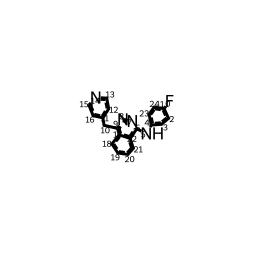 Fc1ccc(Nc2nnc(Cc3ccncc3)c3ccccc23)cc1